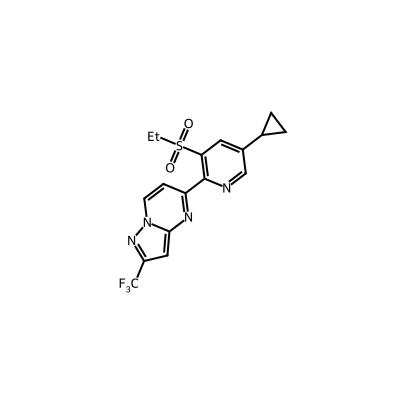 CCS(=O)(=O)c1cc(C2CC2)cnc1-c1ccn2nc(C(F)(F)F)cc2n1